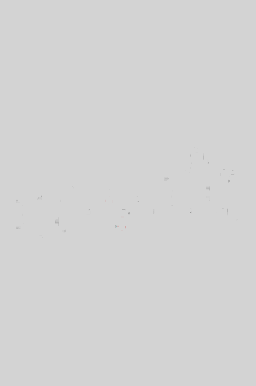 CC(=O)Oc1c(C)cc(/C=C/C(=O)O/C=C/c2ccccc2)cc1C